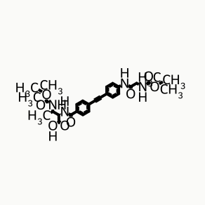 CC(NC(=O)OC(C)(C)C)[C@H](NC(=O)c1ccc(C#Cc2ccc(NC(=O)CNC(=O)OC(C)(C)C)cc2)cc1)C(=O)O